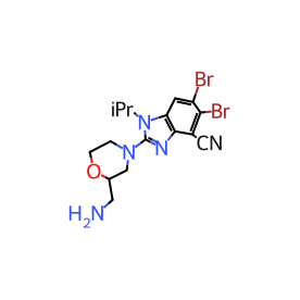 CC(C)n1c(N2CCOC(CN)C2)nc2c(C#N)c(Br)c(Br)cc21